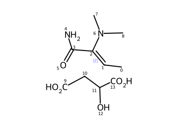 C/C=C(/C(N)=O)N(C)C.O=C(O)CC(O)C(=O)O